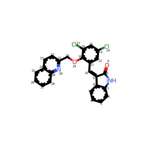 O=C1Nc2ccccc2C1=Cc1cc(Cl)cc(Cl)c1OCc1ccc2ccccc2n1